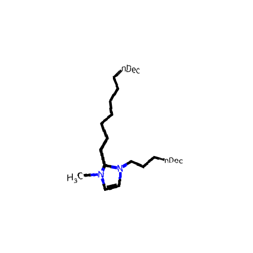 CCCCCCCCCCCCCCCCCC1N(C)C=CN1CCCCCCCCCCCCC